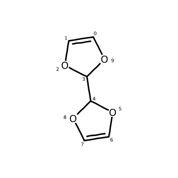 C1=COC(C2OC=CO2)O1